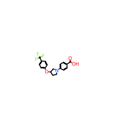 O=C(O)c1ccc(N2CCC(Oc3ccc(C(F)(F)F)cc3)C2)cc1